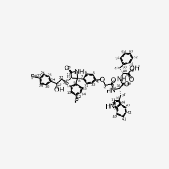 O=C(COc1ccc([C@]2(c3ccc(F)cc3)NC(=O)[C@@H]2SCC(O)c2ccc(F)cc2)cc1)N[C@@H](Cc1c[nH]c2ccccc12)C(=O)N[C@H](Cc1ccccc1)C(=O)O